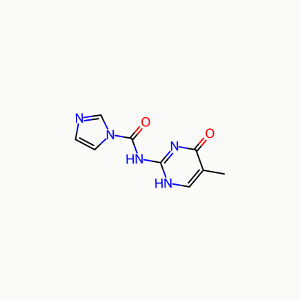 Cc1c[nH]c(NC(=O)n2ccnc2)nc1=O